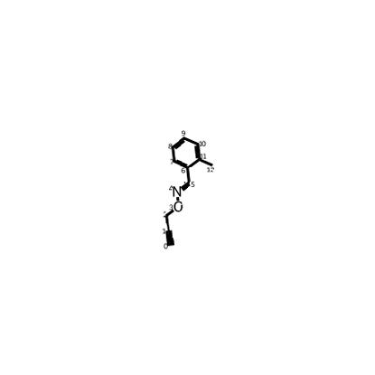 C#CCON=[C]c1ccccc1C